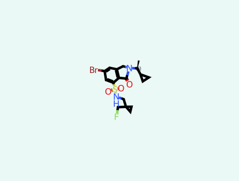 C[C@@H](C1CC1)N1Cc2cc(Br)cc(S(=O)(=O)NCC3(CF)CC3)c2C1=O